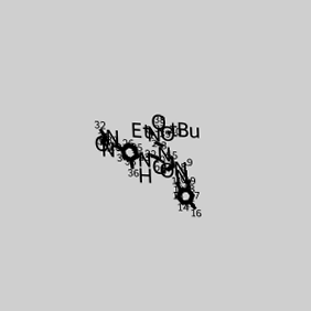 CCN(CCN(CC(=O)N(C)N1Cc2ccc(C)cc2C1)C(=O)CNc1ccc(-c2noc(C)n2)cc1C)C(=O)OC(C)(C)C